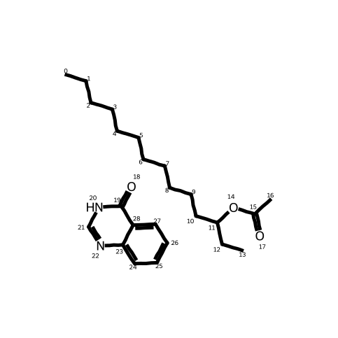 CCCCCCCCCCCC(CC)OC(C)=O.O=c1[nH]cnc2ccccc12